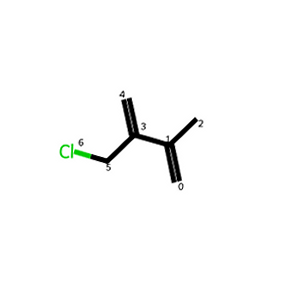 C=C(C)C(=C)CCl